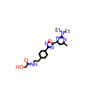 CCN(CC)c1nc(C)cc(-c2nc(-c3ccc(CCNC(=O)CO)cc3)no2)n1